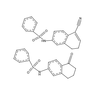 N#CC1=CCCc2cc(NS(=O)(=O)c3ccccc3)ccc21.O=C1CCCc2cc(NS(=O)(=O)c3ccccc3)ccc21